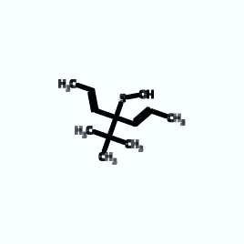 CC=CC(C=CC)(SO)C(C)(C)C